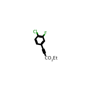 CCOC(=O)C#Cc1ccc(Cl)c(F)c1